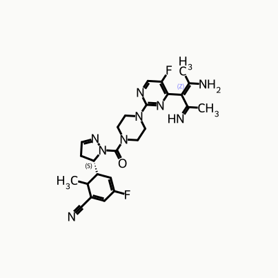 CC(=N)/C(=C(/C)N)c1nc(N2CCN(C(=O)N3N=CC[C@H]3C3C=C(F)C=C(C#N)C3C)CC2)ncc1F